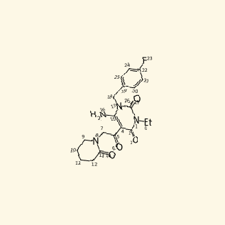 CCn1c(=O)c(C(=O)CN2CCCCC2=O)c(N)n(Cc2ccc(F)cc2)c1=O